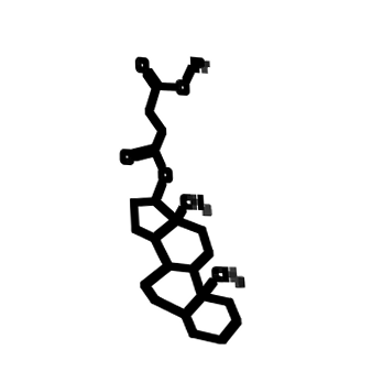 CC(C)OC(=O)CCC(=O)OC1CCC2C3CCC4CCCCC4(C)C3CCC12C